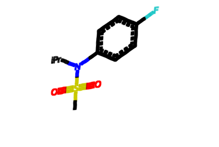 CC(C)N(c1ccc(F)cc1)S(C)(=O)=O